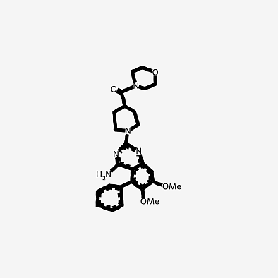 COc1cc2nc(N3CCC(C(=O)N4CCOCC4)CC3)nc(N)c2c(-c2ccccc2)c1OC